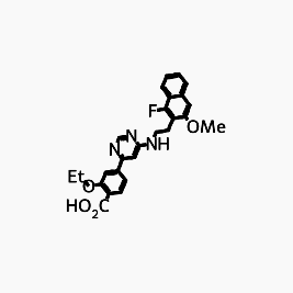 CCOc1cc(-c2cc(NCCc3c(OC)cc4ccccc4c3F)ncn2)ccc1C(=O)O